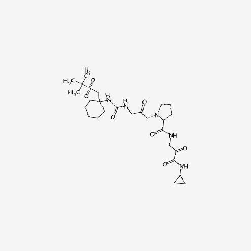 CC(C)(C)S(=O)(=O)CC1(NC(=O)NCC(=O)CN2CCCC2C(=O)NCC(=O)C(=O)NC2CC2)CCCCC1